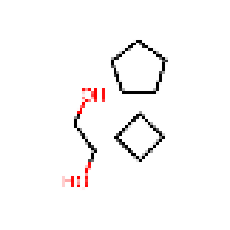 C1CCC1.C1CCCC1.OCCO